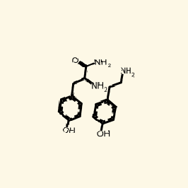 NC(=O)C(N)Cc1ccc(O)cc1.NCCc1ccc(O)cc1